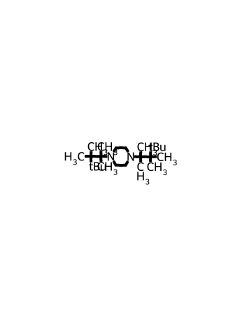 CC(C)(C)C(C)(C)C(C)(C)N1CCN(C(C)(C)C(C)(C)C(C)(C)C)CC1